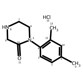 Cc1ccc(N2CCNCC2=O)c(C)c1.Cl